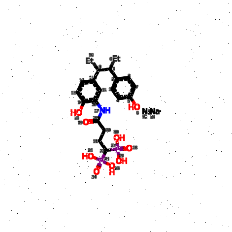 CCC(c1ccc(O)cc1)C(CC)c1ccc(O)c(NC(=O)CCC(P(=O)(O)O)P(=O)(O)O)c1.[Na].[Na]